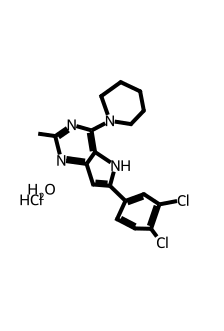 Cc1nc(N2CCCCC2)c2[nH]c(-c3ccc(Cl)c(Cl)c3)cc2n1.Cl.O